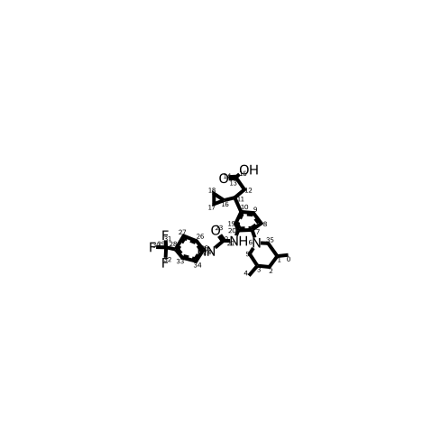 CC1CC(C)CN(c2ccc(C(CC(=O)O)C3CC3)cc2NC(=O)Nc2ccc(C(F)(F)F)cc2)C1